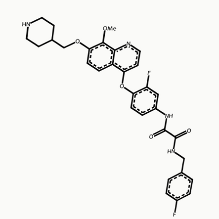 COc1c(OCC2CCNCC2)ccc2c(Oc3ccc(NC(=O)C(=O)NCc4ccc(F)cc4)cc3F)ccnc12